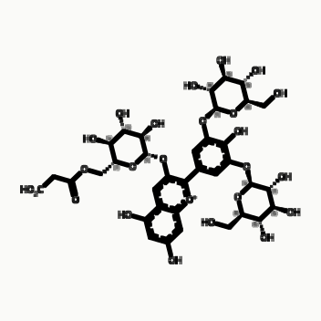 O=C(O)CC(=O)OC[C@H]1O[C@@H](Oc2cc3c(O)cc(O)cc3[o+]c2-c2cc(O[C@@H]3O[C@H](CO)[C@@H](O)[C@H](O)[C@H]3O)c(O)c(O[C@@H]3O[C@H](CO)[C@@H](O)[C@H](O)[C@H]3O)c2)[C@H](O)[C@@H](O)[C@@H]1O